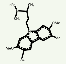 CCCN(C)C(C)CCn1c2cc(OC)c(C(C)=O)cc2c2cc(C(C)=O)c(OC)cc21